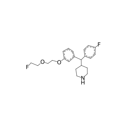 FCCOCCOc1cccc(C(c2ccc(F)cc2)C2CCNCC2)c1